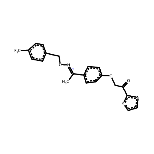 C/C(=N\OCc1ccc(C(F)(F)F)cc1)c1ccc(OCC(=O)c2nccs2)cc1